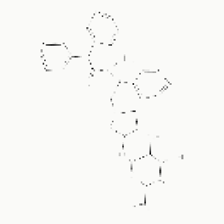 CN(C(=O)C(c1ccccc1)c1ccccc1)C(CN1CCC(OC2OC(C(=O)O)C(O)C(O)C2O)C1)c1ccccc1